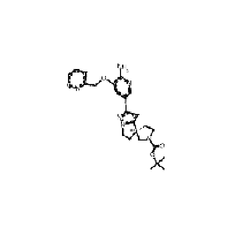 CC(C)(C)OC(=O)N1CC[C@@]2(CCn3nc(-c4cnc(N)c(OCc5cccnn5)c4)cc32)C1